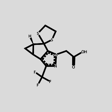 O=C(O)Cn1nc(C(F)(F)F)c2c1C1(SCCS1)[C@H]1CC21